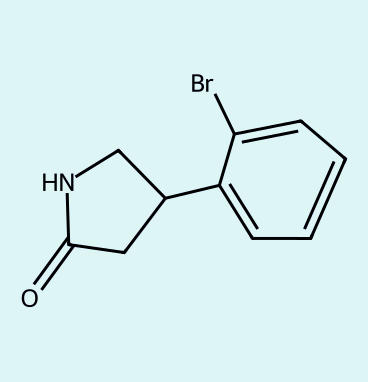 O=C1CC(c2ccccc2Br)CN1